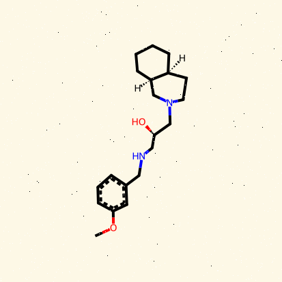 COc1cccc(CNC[C@@H](O)CN2CC[C@@H]3CCCC[C@@H]3C2)c1